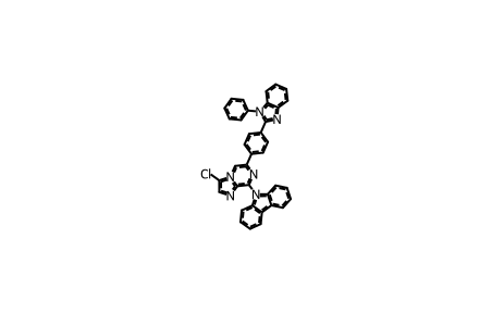 Clc1cnc2c(-n3c4ccccc4c4ccccc43)nc(-c3ccc(-c4nc5ccccc5n4-c4ccccc4)cc3)cn12